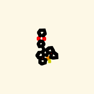 S=P(c1ccccc1)(c1ccccc1)c1c2ccccc2c(-c2ccc3c(c2)Oc2ccccc2O3)c2ccccc12